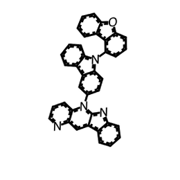 c1ccc2c3cc4ncccc4n(-c4ccc5c(c4)c4ccccc4n5-c4cccc5oc6ccccc6c45)c-3nc2c1